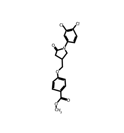 COC(=O)c1ccc(OCC2CC(=O)N(c3ccc(Cl)c(Cl)c3)C2)cc1